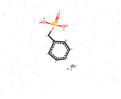 CC[C@H](C)c1ccc(CP(=O)(O)O)cc1